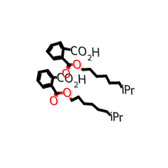 CC(C)CCCCCCOC(=O)c1ccccc1C(=O)O.CC(C)CCCCCCOC(=O)c1ccccc1C(=O)O